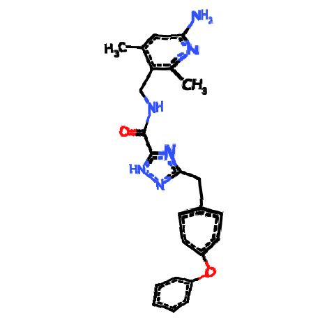 Cc1cc(N)nc(C)c1CNC(=O)c1nc(Cc2ccc(Oc3ccccc3)cc2)n[nH]1